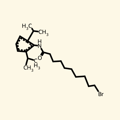 CC(C)c1cccc(C(C)C)c1NC(=O)CCCCCCCCCBr